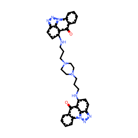 O=c1c2ccccc2n2nnc3ccc(NCCCN4CCN(CCCNc5ccc6nnn7c8ccccc8c(=O)c5c67)CC4)c1c32